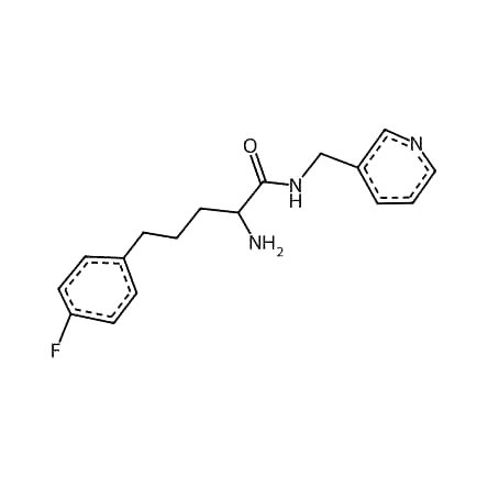 NC(CCCc1ccc(F)cc1)C(=O)NCc1cccnc1